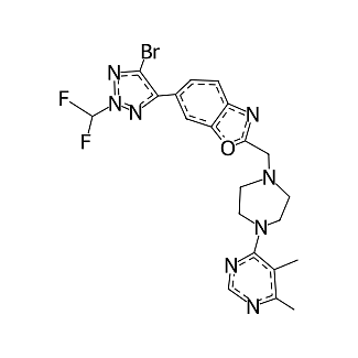 Cc1ncnc(N2CCN(Cc3nc4ccc(-c5nn(C(F)F)nc5Br)cc4o3)CC2)c1C